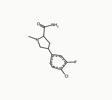 CN1CC(c2ccc(Cl)c(F)c2)[CH]C1C(N)=O